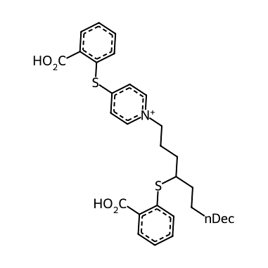 CCCCCCCCCCCCC(CCC[n+]1ccc(Sc2ccccc2C(=O)O)cc1)Sc1ccccc1C(=O)O